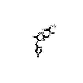 CN(CC(=O)N[C@@H](Cc1c[nH]cn1)C(=O)O)C(=N)N